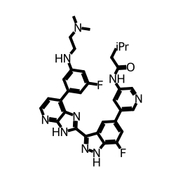 CC(C)CC(=O)Nc1cncc(-c2cc(F)c3[nH]nc(-c4nc5c(-c6cc(F)cc(NCCN(C)C)c6)ccnc5[nH]4)c3c2)c1